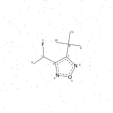 CC(F)c1nonc1C(C)(C)C